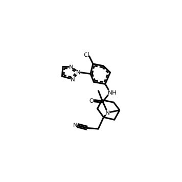 CC1CC2CC(CC#N)(C1)N2C(=O)Nc1ccc(Cl)c(-n2nccn2)c1